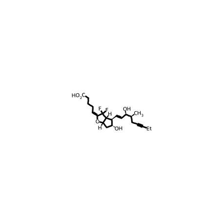 CCC#CC[C@H](C)[C@H](O)C=C[C@@H]1[C@@H]2[C@H](C[C@H]1O)OC(=CCCCC(=O)O)C2(F)F